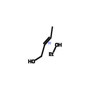 C/C=C/CO.CCO